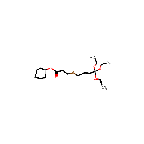 CCO[Si](CCCSCCC(=O)OC1CCCCC1)(OCC)OCC